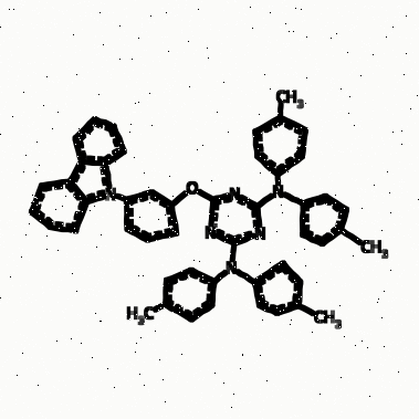 Cc1ccc(N(c2ccc(C)cc2)c2nc(Oc3cccc(-n4c5ccccc5c5ccccc54)c3)nc(N(c3ccc(C)cc3)c3ccc(C)cc3)n2)cc1